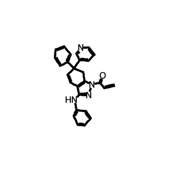 C=CC(=O)n1nc(Nc2ccccc2)c2c1CC(c1ccccc1)(c1cccnc1)C=C2